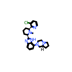 CN1[C@@H](c2nc3cccc(N4CCN5CCC[C@H]5C4)c3[nH]2)CCC[C@H]1c1ncccc1Cl